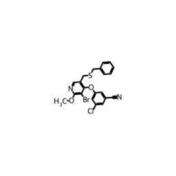 COc1ncc(CSCc2ccccc2)c(Oc2cc(Cl)cc(C#N)c2)c1Br